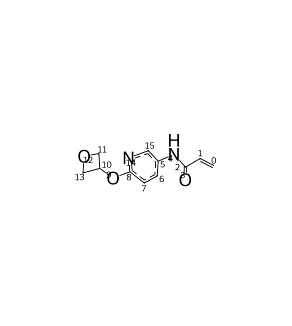 C=CC(=O)Nc1ccc(OC2COC2)nc1